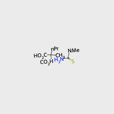 CCCC(C)(C(=O)O)C(=O)O.CNC(N)=S